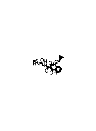 CSNC(=O)CNC(=O)c1c(O)c2ccccc2n(OCC2CC2)c1=O